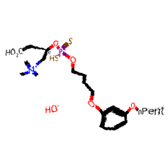 CCCCCOc1cccc(OCCCCOP(=S)(S)O[C@H](CC(=O)O)C[N+](C)(C)C)c1.[OH-]